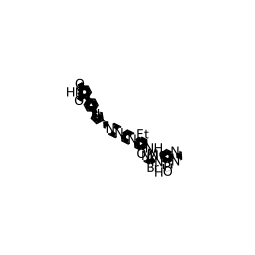 CCc1cc(Nc2ncc(Br)c(Nc3ccc4nccnc4c3P(C)(C)=O)n2)c(OC)cc1N1CCC(N2CCN(CC[C@@H]3CCN(c4ccc(C5CCC(=O)NC5=O)cc4)C3)CC2)CC1